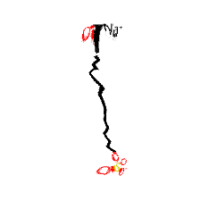 C1CO1.CCCCCCCCCCCCCCOS(=O)(=O)[O-].[Na+]